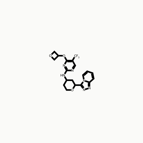 FC(F)(F)c1cnc(NC2CCOC(c3nnc4ccccn34)C2)nc1OC1COC1